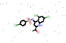 CC(=O)c1cc(=NS(=O)(=O)c2ccc(Cl)cc2)c2c(Cl)cc(Cl)cc2[nH]1